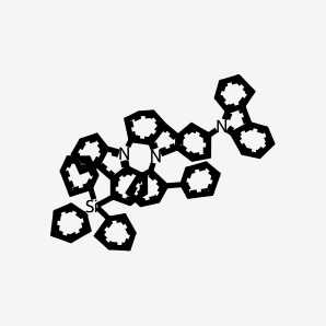 c1ccc(-c2ccccc2-n2c3ccc(-n4c5ccccc5c5ccccc54)cc3c3cccc(-n4c5ccccc5c5c([Si](c6ccccc6)(c6ccccc6)c6ccccc6)cccc54)c32)cc1